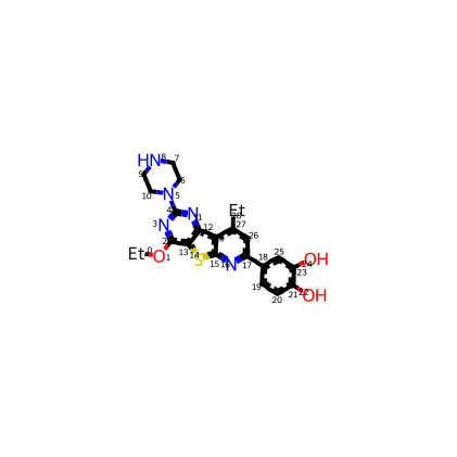 CCOc1nc(N2CCNCC2)nc2c1sc1nc(-c3ccc(O)c(O)c3)cc(CC)c12